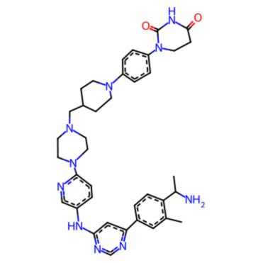 Cc1cc(-c2cc(Nc3ccc(N4CCN(CC5CCN(c6ccc(N7CCC(=O)NC7=O)cc6)CC5)CC4)nc3)ncn2)ccc1C(C)N